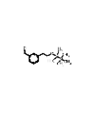 C[Si](C)(C)[Si](C)(C)OCCc1cccc(CCl)c1